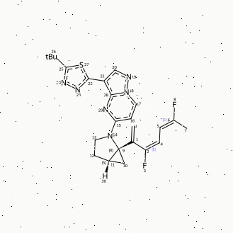 C=C(/C(F)=C\C=C(/C)F)[C@@]12C[C@@H]1CCN2c1ccn2ncc(-c3nnc(C(C)(C)C)s3)c2n1